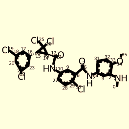 CNc1cc(NC(=O)c2cc(NC(=O)[C@H]3[C@H](c4cc(Cl)cc(Cl)c4)C3(Cl)Cl)ccc2Cl)ccc1OC